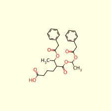 CC(OC(=O)Cc1ccccc1)OC(=O)C(CCCC(=O)O)C(C)OC(=O)Cc1ccccc1